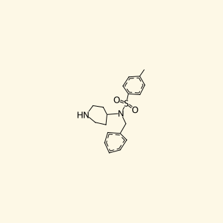 Cc1ccc(S(=O)(=O)N(Cc2ccccc2)C2CCNCC2)cc1